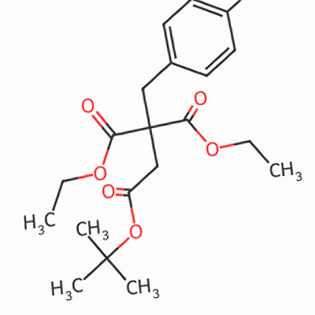 CCOC(=O)C(CC(=O)OC(C)(C)C)(Cc1ccc(I)cc1)C(=O)OCC